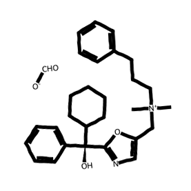 C[N+](C)(CCCc1ccccc1)Cc1cnc([C@](O)(c2ccccc2)C2CCCCC2)o1.O=C[O-]